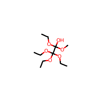 CCOC(O)(OC)C(OCC)(OCC)OCC